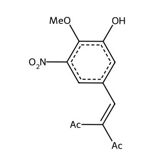 COc1c(O)cc(C=C(C(C)=O)C(C)=O)cc1[N+](=O)[O-]